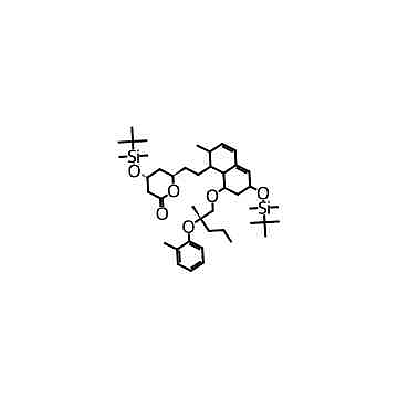 CCC[C@@](C)(COC1CC(O[Si](C)(C)C(C)(C)C)C=C2C=CC(C)C(CC[C@@H]3C[C@@H](O[Si](C)(C)C(C)(C)C)CC(=O)O3)C21)Oc1ccccc1C